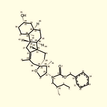 CC[C@H](C)CN(C(=O)OCc1ccccc1)[C@@H]1CO[C@]2(CC[C@@H]3C(=C(C)C2)C[C@H]2[C@H]3CC[C@@H]3C[C@@H](O)CC[C@@]32C)[C@@H]1C